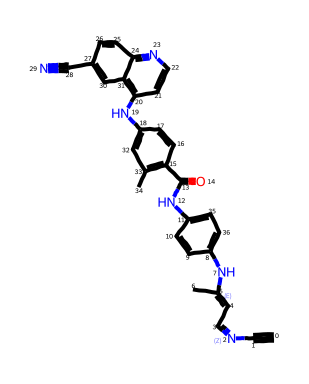 C#C/N=C\C=C(/C)Nc1ccc(NC(=O)c2ccc(Nc3ccnc4ccc(C#N)cc34)cc2C)cc1